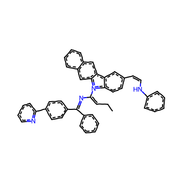 CC/C=C(/N=C(\c1ccccc1)c1ccc(-c2ccccn2)cc1)n1c2ccc(/C=C\Nc3ccccc3)cc2c2cc3ccccc3cc21